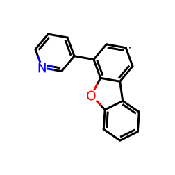 [c]1cc(-c2cccnc2)c2oc3ccccc3c2c1